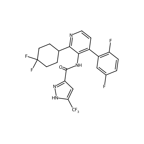 O=C(Nc1c(-c2cc(F)ccc2F)ccnc1C1CCC(F)(F)CC1)c1cc(C(F)(F)F)[nH]n1